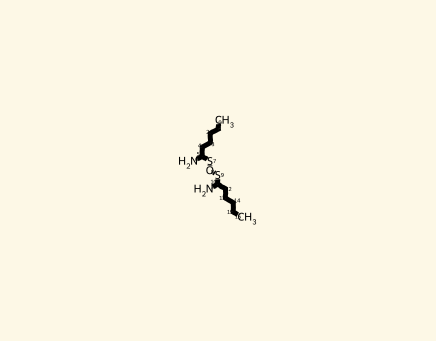 CCCCCC(N)SOSC(N)CCCCC